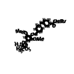 COc1cc(B2OC(C)(C)C(C)(C)O2)cc(OC)c1OCC1CCN(CC2CCN(C(=O)OC(C)(C)C)CC2)CC1